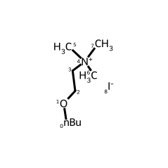 CCCCOCC[N+](C)(C)C.[I-]